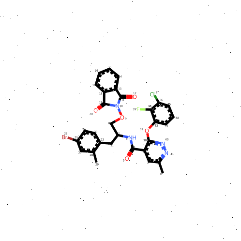 Cc1cc(C(=O)NC(CON2C(=O)c3ccccc3C2=O)Cc2ccc(Br)cc2C)c(Oc2cccc(Cl)c2F)nn1